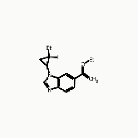 C=C(OCC)c1ccc2ncn(C3CC3(I)CC)c2c1